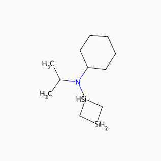 CC(C)N(C1CCCCC1)[SiH]1C[SiH2]C1